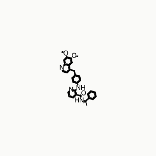 COc1cc2nccc(Cc3ccc(Nc4ncccc4C(=O)N[C@H](C)c4ccccc4)cc3)c2cc1OC